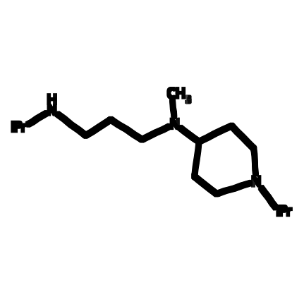 CC(C)NCCCN(C)C1CCN(C(C)C)CC1